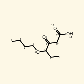 CCCCOC(CC)C(=O)CC(=O)O